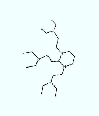 CCN(CC)CCN1CCCN(CCN(CC)CC)N1CCN(CC)CC